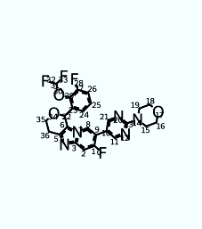 Fc1cc2nc3c(n2cc1-c1cnc(N2CCOCC2)nc1)C(c1cccc(F)c1OC(F)F)OCC3